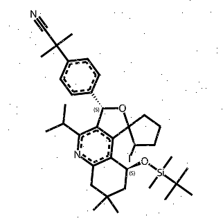 CC(C)c1nc2c(c3c1[C@H](c1ccc(C(C)(C)C#N)cc1)OC31CCCC1I)[C@@H](O[Si](C)(C)C(C)(C)C)CC(C)(C)C2